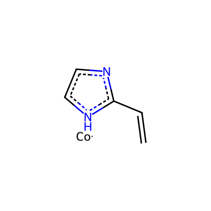 C=Cc1ncc[nH]1.[Co]